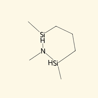 CN1[SiH](C)CCC[SiH]1C